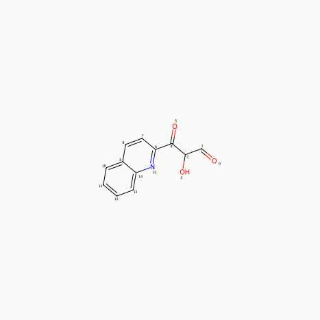 O=[C]C(O)C(=O)c1ccc2ccccc2n1